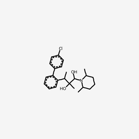 CC1CCCC(C)N1C(O)C(C)(O)C(C)c1ccccc1-c1ccc(Cl)cc1